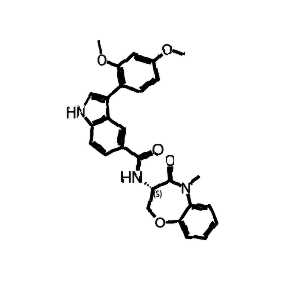 COc1ccc(-c2c[nH]c3ccc(C(=O)N[C@H]4COc5ccccc5N(C)C4=O)cc23)c(OC)c1